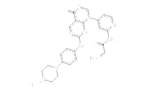 C=CC(=O)Nc1cc(-n2cnc(=O)c3cnc(Nc4ccc(N5CCN(C)CC5)cc4)nc32)ccn1